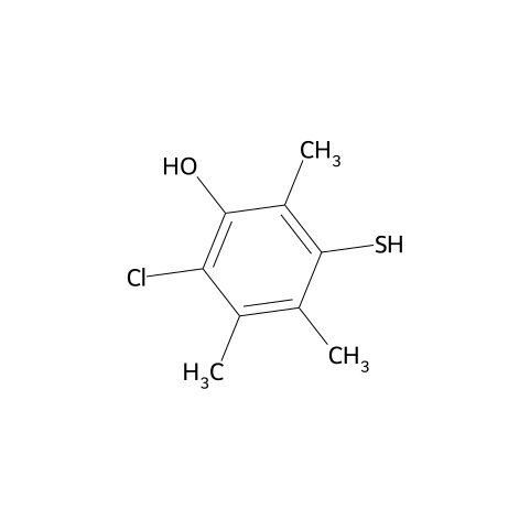 Cc1c(C)c(Cl)c(O)c(C)c1S